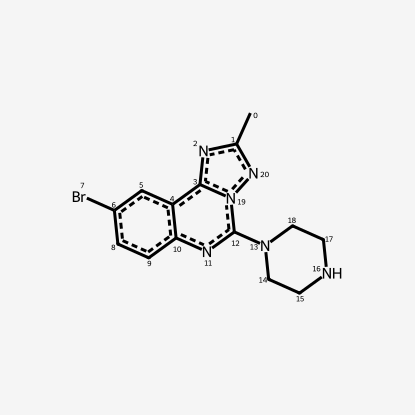 Cc1nc2c3cc(Br)ccc3nc(N3CCNCC3)n2n1